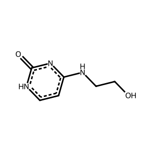 O=c1nc(NCCO)cc[nH]1